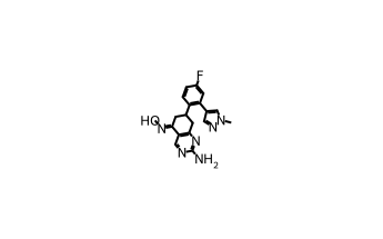 Cn1cc(-c2cc(F)ccc2C2C/C(=N\O)c3cnc(N)nc3C2)cn1